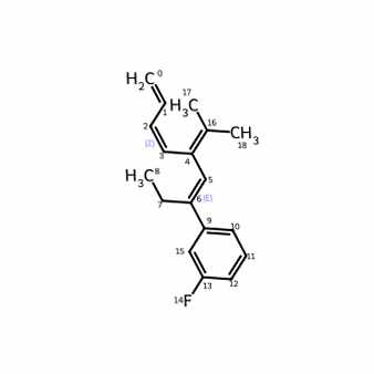 C=C/C=C\C(/C=C(\CC)c1cccc(F)c1)=C(C)C